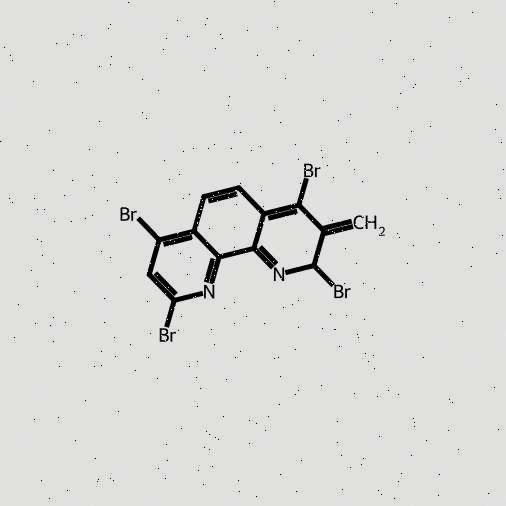 C=C1C(Br)=c2ccc3c(Br)cc(Br)nc3c2=NC1Br